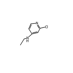 CCNc1ccnc(Cl)c1